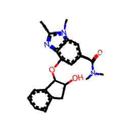 Cc1nc2c(OC3c4ccccc4CC3O)cc(C(=O)N(C)C)cc2n1C